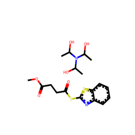 CC(O)N(C(C)O)C(C)O.COC(=O)CCC(=O)Sc1nc2ccccc2s1